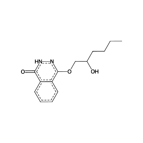 CCCCC(O)COc1n[nH]c(=O)c2ccccc12